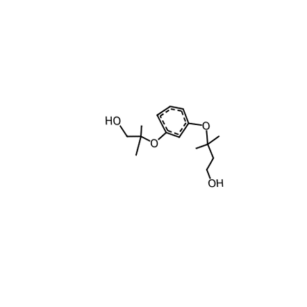 CC(C)(CO)Oc1cccc(OC(C)(C)CCO)c1